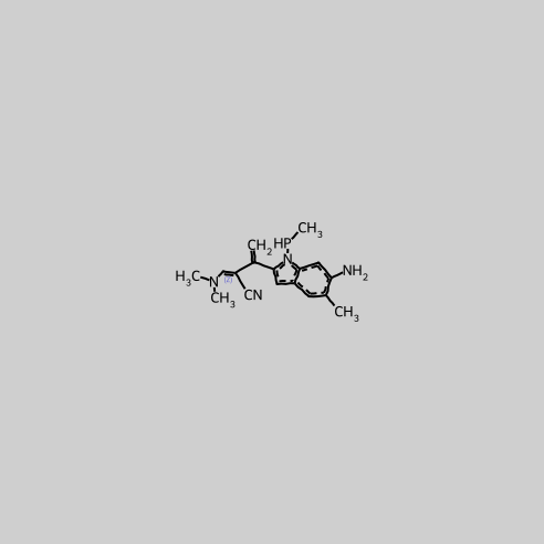 C=C(/C(C#N)=C/N(C)C)c1cc2cc(C)c(N)cc2n1PC